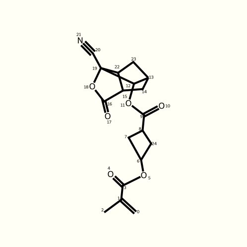 C=C(C)C(=O)OC1CC(C(=O)OC2C3CC4C(=O)OC2(C#N)C4C3)C1